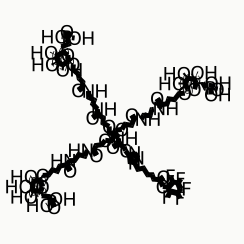 O=C(CCCCO[C@H]1O[C@H](CCP(=O)(O)O)[C@@H](O)[C@H](O)[C@@H]1O)NCCCNC(=O)CCOCC(COCCC(=O)NCCCNC(=O)CCCCO[C@H]1O[C@H](CCP(=O)(O)O)[C@@H](O)[C@H](O)[C@@H]1O)(COCCC(=O)NCCCNC(=O)CCCCO[C@H]1O[C@H](CCP(=O)(O)O)[C@@H](O)[C@H](O)[C@@H]1O)NC(=O)CCc1cn(CCCCCC(=O)Oc2c(F)c(F)c(F)c(F)c2F)nn1